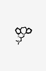 CN(C)CC(F)CN1c2ccccc2CCc2ccccc21